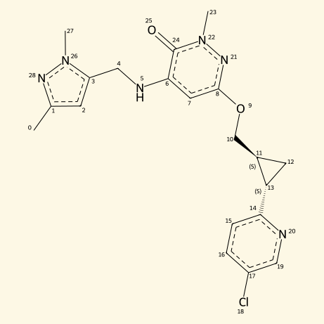 Cc1cc(CNc2cc(OC[C@H]3C[C@@H]3c3ccc(Cl)cn3)nn(C)c2=O)n(C)n1